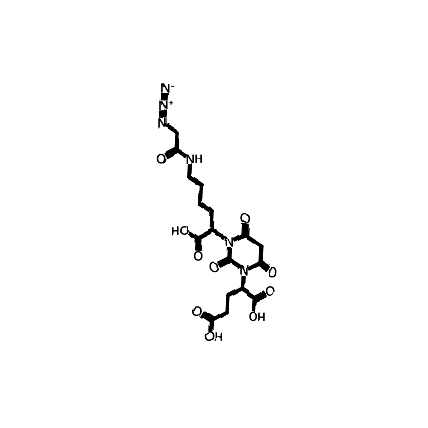 [N-]=[N+]=NCC(=O)NCCCCC(C(=O)O)N1C(=O)CC(=O)N(C(CCC(=O)O)C(=O)O)C1=O